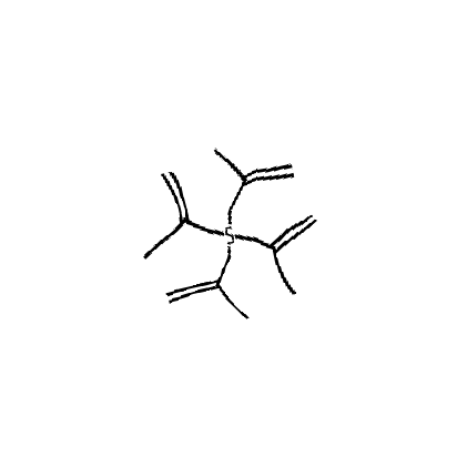 C=C(C)S(C(=C)C)(C(=C)C)C(=C)C